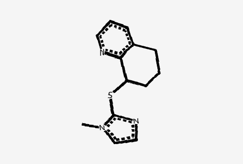 Cn1ccnc1SC1CCCc2cccnc21